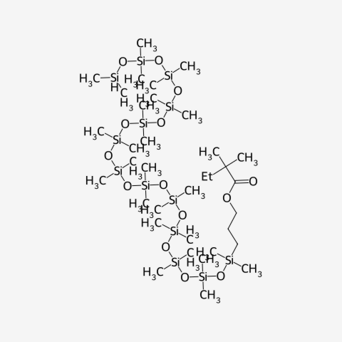 CCC(C)(C)C(=O)OCCC[Si](C)(C)O[Si](C)(C)O[Si](C)(C)O[Si](C)(C)O[Si](C)(C)O[Si](C)(C)O[Si](C)(C)O[Si](C)(C)O[Si](C)(C)O[Si](C)(C)O[Si](C)(C)O[Si](C)(C)O[SiH](C)C